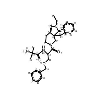 CCN1N=C2CCN(C(=O)C(COCc3ccccc3)NC(=O)C(C)(C)N)CC2(Cc2ccccc2)C1=O